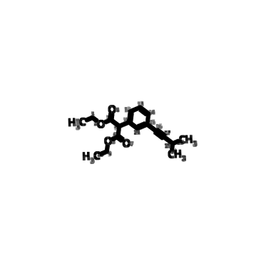 CCOC(=O)C(C(=O)OCC)c1cccc(C#CC(C)C)c1